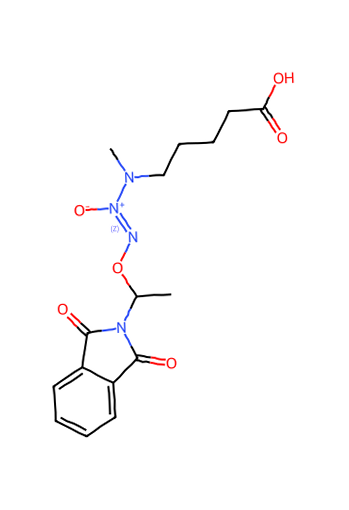 CC(O/N=[N+](\[O-])N(C)CCCCC(=O)O)N1C(=O)c2ccccc2C1=O